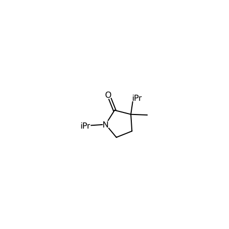 CC(C)N1CCC(C)(C(C)C)C1=O